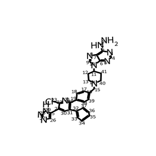 NNc1ncnc2c1ncn2C1CCN(Cc2ccc(-c3nc(Cl)c(-c4cnn[nH]4)cc3-c3ccccc3)cc2)CC1